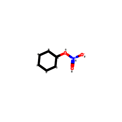 O=[N+]([O-])OC1C[CH]CCC1